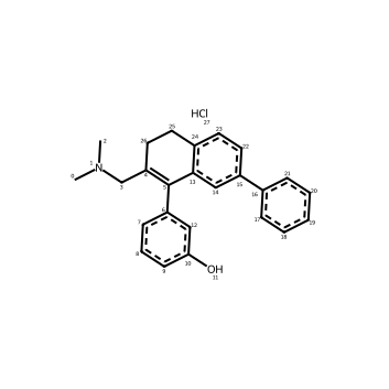 CN(C)CC1=C(c2cccc(O)c2)c2cc(-c3ccccc3)ccc2CC1.Cl